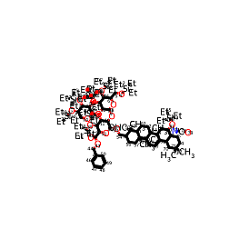 CC[Si](CC)(CC)OCC1O[C@@H](OC2C(O[C@@H]3OC[C@@H](O[Si](CC)(CC)CC)C(O[Si](CC)(CC)CC)C3O[Si](CC)(CC)CC)[C@H](O[Si](CC)(CC)CC)C(C(=O)OCc3ccccc3)O[C@H]2OCC2CCC3(C)C(CCC4(C)C3CC=C3C5CC(C)(C)CC[C@]5(N=C=O)C(O[Si](CC)(CC)CC)CC34C)C2(C)C=O)C(O[Si](CC)(CC)CC)C(O[Si](CC)(CC)CC)[C@H]1O[Si](CC)(CC)CC